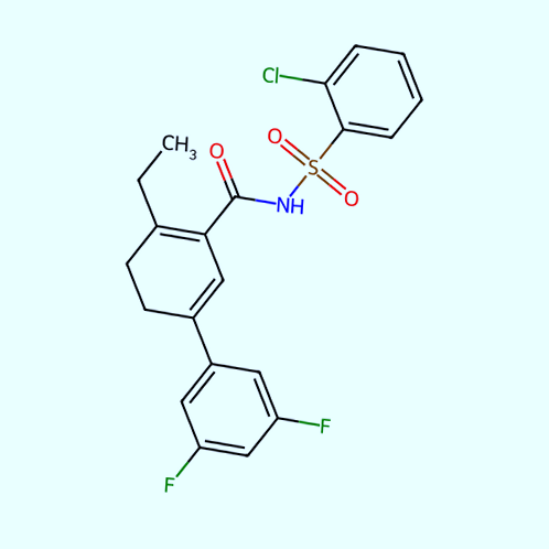 CCC1=C(C(=O)NS(=O)(=O)c2ccccc2Cl)C=C(c2cc(F)cc(F)c2)CC1